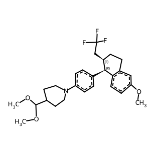 COc1ccc2c(c1)CC[C@H](CC(F)(F)F)[C@@H]2c1ccc(N2CCC(C(OC)OC)CC2)cc1